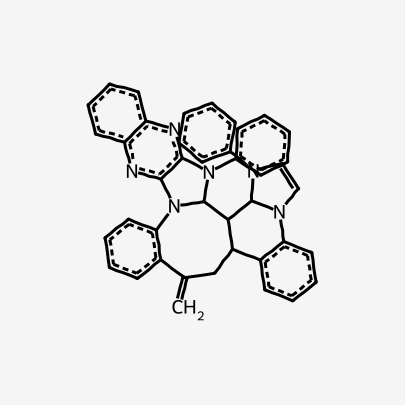 C=C1CC2c3ccccc3N3C=CN(c4ccccc4)C3C2C2N(c3ccccc3)c3nc4ccccc4nc3N2c2ccccc21